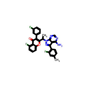 Cc1ccc(-c2nn(C(C)c3oc4cccc(F)c4c(=O)c3-c3cccc(F)c3)c3ncnc(N)c23)c(F)c1